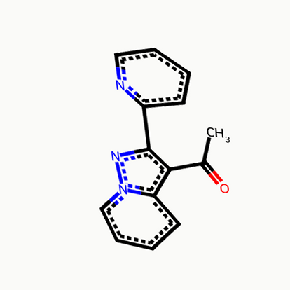 CC(=O)c1c(-c2ccccn2)nn2ccccc12